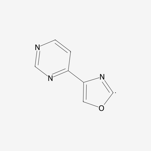 [c]1nc(-c2ccncn2)co1